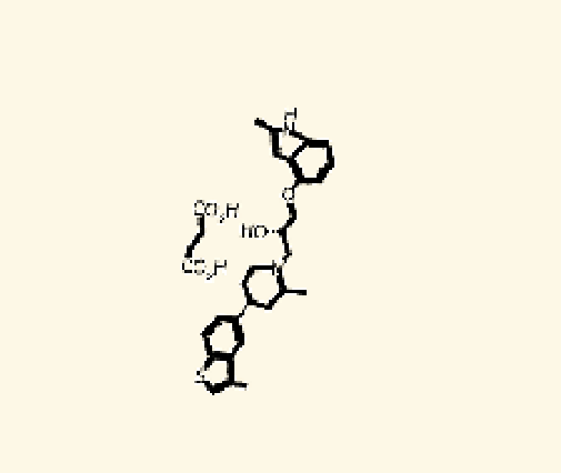 Cc1cc2c(OC[C@@H](O)CN3CC[C@H](c4ccc5scc(C)c5c4)C[C@@H]3C)cccc2[nH]1.O=C(O)CCC(=O)O